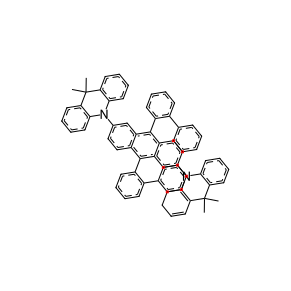 CC1(C)C2=C(CCC=C2)N(c2ccc3c(-c4ccccc4-c4ccccc4)c4cc(N5c6ccccc6C(C)(C)c6ccccc65)ccc4c(-c4ccccc4-c4ccccc4)c3c2)c2ccccc21